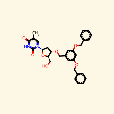 Cc1cn([C@H]2C[C@H](OCc3cc(OCc4ccccc4)cc(OCc4ccccc4)c3)[C@@H](CO)O2)c(=O)[nH]c1=O